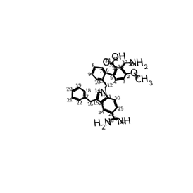 COc1ccc(-c2ccccc2Cn2cc(Cc3ccccc3)c3cc(C(=N)N)ccc32)c(C(=O)O)c1CN